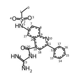 CCS(=O)(=O)Nc1ccc2nc(-c3ccccc3)cc(C(=O)NC(=N)N)c2c1